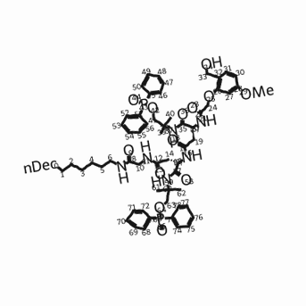 CCCCCCCCCCCCCCCCNC(=O)CNC(=O)C[C@H](NC(=O)C[C@H](NC(=O)COc1cc(OC)ccc1CO)C(=O)NC(C)(C)COP(=O)(c1ccccc1)c1ccccc1)C(=O)NC(C)(C)COP(=O)(c1ccccc1)c1ccccc1